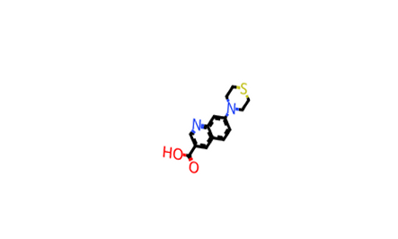 O=C(O)c1cnc2cc(N3CCSCC3)ccc2c1